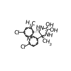 Cc1cc(Cl)ccc1[C@@H]1NS(O)(O)N[C@]1(C)c1ccc(Cl)nc1